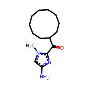 Cn1cc(N)nc1C(=O)C1CCCCCCCCC1